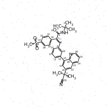 CC(C)(C)NC(=O)/C(=C/c1cccc(-c2cc(C(C)(C)C#N)cc3cccnc23)c1)c1ccc(S(C)(=O)=O)cc1